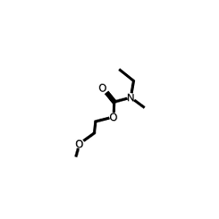 CCN(C)C(=O)OCCOC